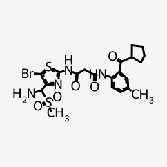 Cc1ccc(NC(=O)CC(=O)Nc2nc(C(N)S(C)(=O)=O)c(Br)s2)c(C(=O)C2CCCC2)c1